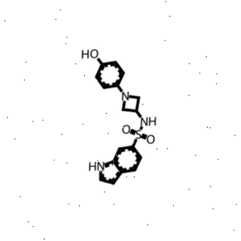 O=S(=O)(NC1CN(c2ccc(O)cc2)C1)c1ccc2cc[nH]c2c1